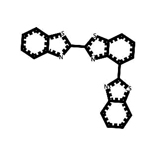 c1ccc2sc(-c3nc4c(-c5nc6ccccc6s5)cccc4s3)nc2c1